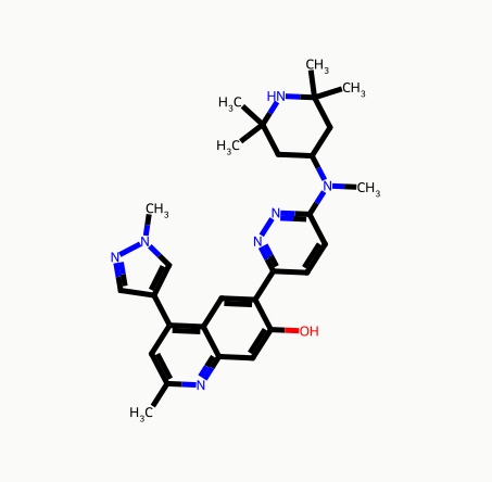 Cc1cc(-c2cnn(C)c2)c2cc(-c3ccc(N(C)C4CC(C)(C)NC(C)(C)C4)nn3)c(O)cc2n1